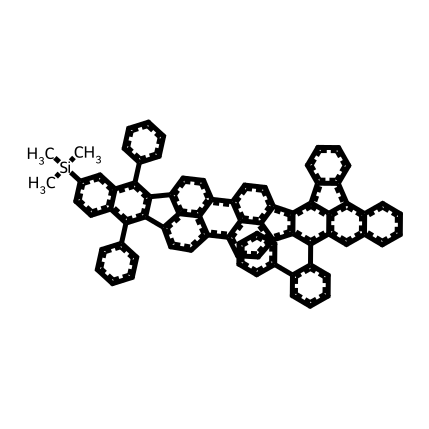 C[Si](C)(C)c1ccc2c(-c3ccccc3)c3c(c(-c4ccccc4)c2c1)-c1ccc2c4ccc5c6c(ccc(c7ccc-3c1c72)c46)c1c(-c2ccccc2-c2ccccc2)c2cc3ccccc3c3c4ccccc4c(c51)c23